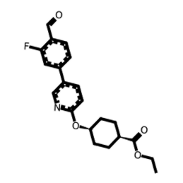 CCOC(=O)[C@H]1CC[C@@H](Oc2ccc(-c3ccc(C=O)c(F)c3)cn2)CC1